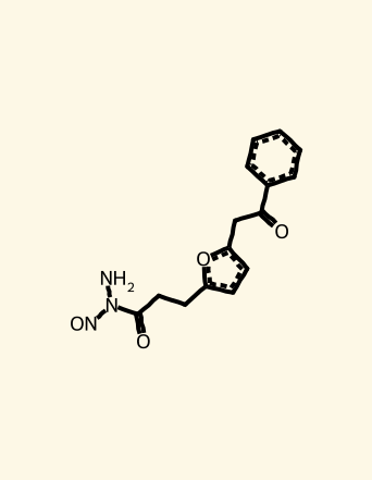 NN(N=O)C(=O)CCc1ccc(CC(=O)c2ccccc2)o1